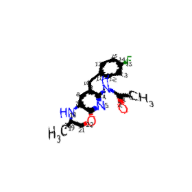 CC(=O)Nc1nc2c(cc1Cc1ccc(F)cc1)NC(C)CO2